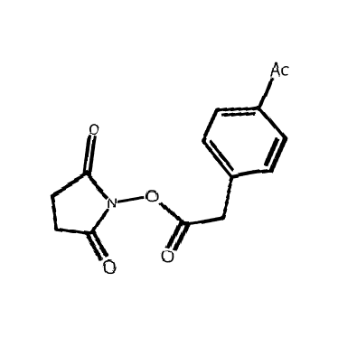 CC(=O)c1ccc(CC(=O)ON2C(=O)CCC2=O)cc1